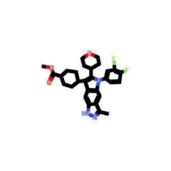 COC(=O)C1CCC(c2c(C3CCOCC3)n(-c3ccc(F)c(F)c3)c3cc4c(C)n[nH]c4cc23)CC1